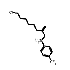 C=C(CCCCCCCl)C[SiH2]c1ccc(C(F)(F)F)cc1